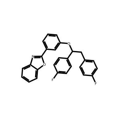 Fc1ccc(CC(Oc2[c]ccc(-c3nc4ccccc4o3)c2)c2ccc(F)cc2)cc1